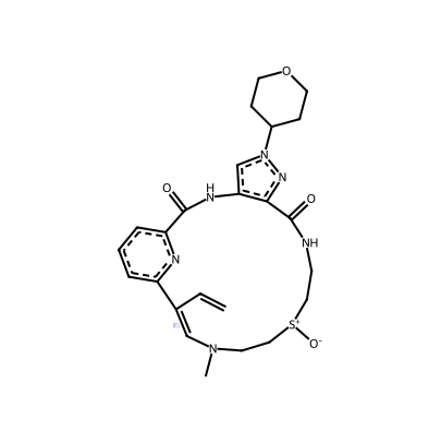 C=C/C1=C\N(C)CC[S+]([O-])CCNC(=O)c2nn(C3CCOCC3)cc2NC(=O)c2cccc1n2